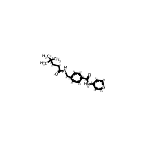 CC(C)(C)CCC(=O)NCc1ccc(C(=O)Nc2ccncc2)cc1